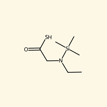 CCN(CC(=O)S)[Si](C)(C)C